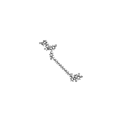 NC1(C(=O)NC(CCN2CCN(C(=O)CCOCCOCCOCCOCCOCCOCCNc3cccc4c3C(=O)N(C3CCC(=O)NC3=O)C4=O)CC2)c2ccc(Cl)cc2)CCN(c2ncnc3[nH]ccc23)CC1